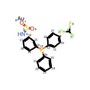 FC(F)F.N=S(=O)=O.[Au].c1ccc(P(c2ccccc2)c2ccccc2)cc1